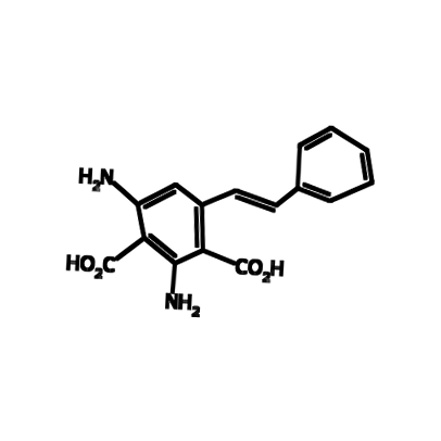 Nc1cc(C=Cc2ccccc2)c(C(=O)O)c(N)c1C(=O)O